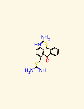 N=C(N)SCc1ccccc1C(=O)c1ccccc1CSC(=N)N